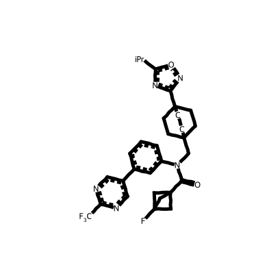 CC(C)c1nc(C23CCC(CN(C(=O)C45CC(F)(C4)C5)c4cccc(-c5cnc(C(F)(F)F)nc5)c4)(CC2)CC3)no1